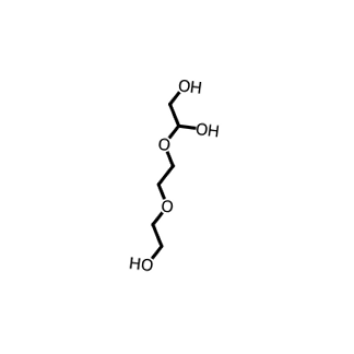 OCCOCCOC(O)CO